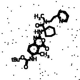 Cc1c(NC(=O)OC(C)(C)C)ccc2nc(NC3(C(=O)N(C)CCc4ccccn4)CCCCC3)oc(=O)c12